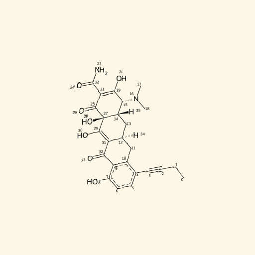 CCC#Cc1ccc(O)c2c1C[C@@H]1C[C@H]3[C@@H](N(C)C)C(O)=C(C(N)=O)C(=O)[C@@]3(O)C(O)=C1C2=O